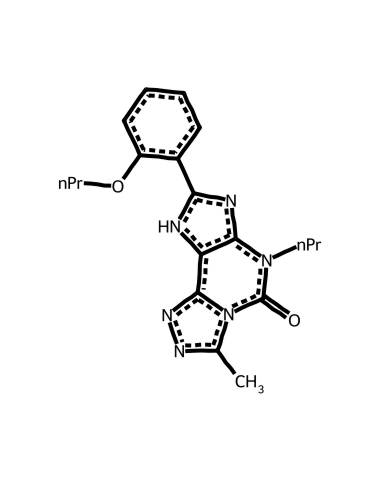 CCCOc1ccccc1-c1nc2c([nH]1)c1nnc(C)n1c(=O)n2CCC